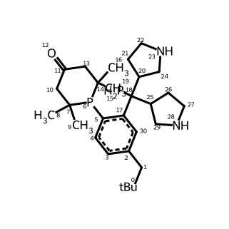 CC(C)(C)Cc1ccc(P2C(C)(C)CC(=O)CC2(C)C)c(C(P)(C2CCNC2)C2CCNC2)c1